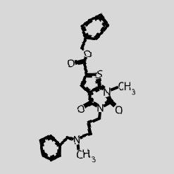 CN(CCCn1c(=O)c2cc(C(=O)OCc3ccccc3)sc2n(C)c1=O)Cc1ccccc1